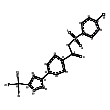 O=C(CS(=O)(=O)c1ccc(Cl)cc1)c1ccc(-c2noc(C(F)(F)F)n2)cc1